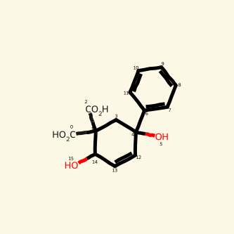 O=C(O)C1(C(=O)O)CC(O)(c2ccccc2)C=CC1O